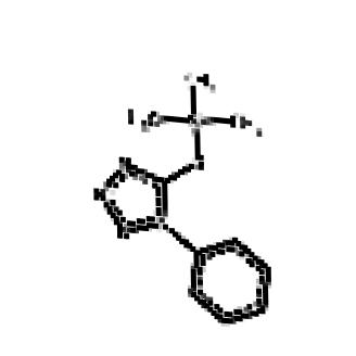 C[Si](C)(C)Sc1nnnn1-c1ccccc1